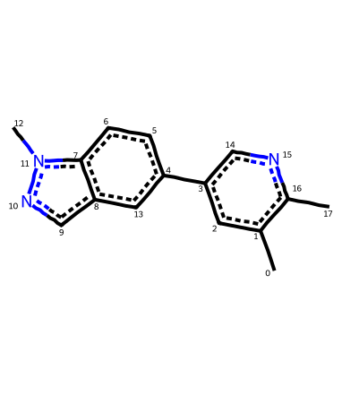 Cc1cc(-c2ccc3c(cnn3C)c2)cnc1C